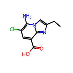 CCc1cn2c(N)c(Cl)cc(C(=O)O)c2n1